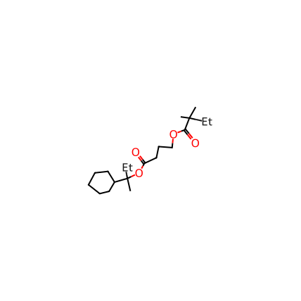 CCC(C)(C)C(=O)OCCCC(=O)OC(C)(CC)C1CCCCC1